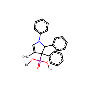 CCOP(=O)(OCC)C1(c2ccccc2)C(C=O)=CN(c2ccccc2)C1c1ccccc1